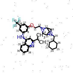 CC(C)c1cc(Nc2cc(OCCN3CC4CC3CN4CC3CCCCC3)cc(C(F)(F)F)c2)c2ccccc2n1